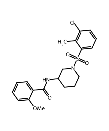 COc1ccccc1C(=O)NC1CCCN(S(=O)(=O)c2cccc(Cl)c2C)C1